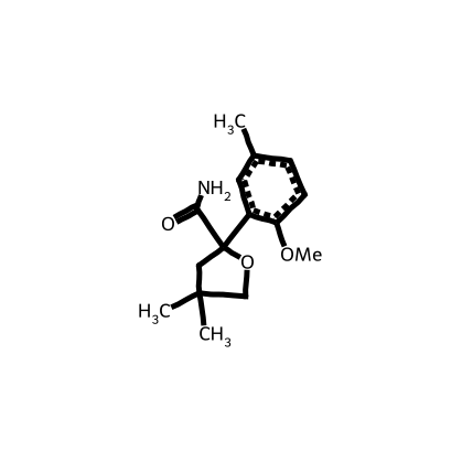 COc1ccc(C)cc1C1(C(N)=O)CC(C)(C)CO1